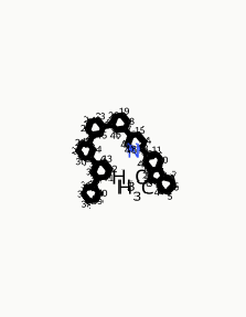 CC1(C)c2ccccc2-c2ccc(-c3ccc(-c4cccc(-c5cccc(-c6cccc(C7=CC(c8ccccc8)CC=C7)c6)c5)c4)cn3)cc21